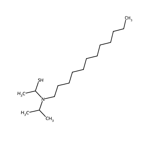 CCCCCCCCCCCCN(C(C)C)C(C)S